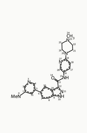 CNc1cncc(-c2ccc3[nH]nc(C(=O)Nc4ccc(N5CCN(C)CC5)nc4)c3c2)c1